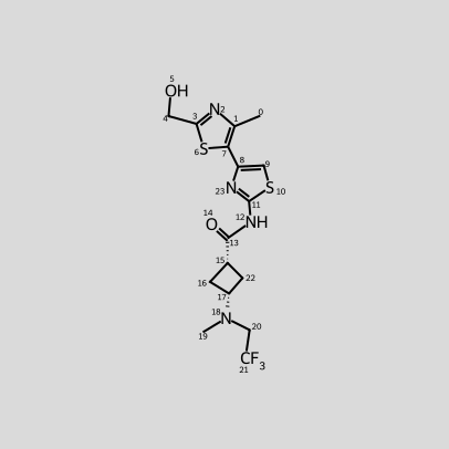 Cc1nc(CO)sc1-c1csc(NC(=O)[C@H]2C[C@@H](N(C)CC(F)(F)F)C2)n1